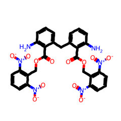 Nc1cccc(Cc2cccc(N)c2C(=O)OCc2c([N+](=O)[O-])cccc2[N+](=O)[O-])c1C(=O)OCc1c([N+](=O)[O-])cccc1[N+](=O)[O-]